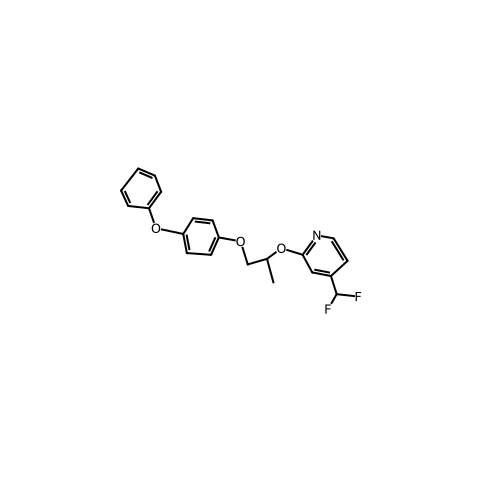 CC(COc1ccc(Oc2ccccc2)cc1)Oc1cc(C(F)F)ccn1